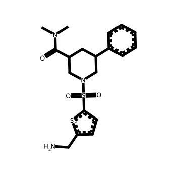 CN(C)C(=O)C1CC(c2ccccc2)CN(S(=O)(=O)c2ccc(CN)s2)C1